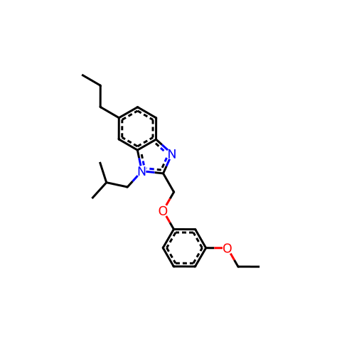 CCCc1ccc2nc(COc3cccc(OCC)c3)n(CC(C)C)c2c1